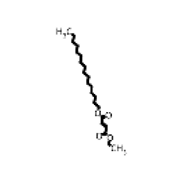 CCCCCCCCCCCCCCCCOC(=O)C=CC(=O)OCC